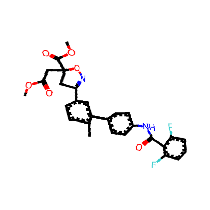 COC(=O)CC1(C(=O)OC)CC(c2ccc(C)c(-c3ccc(NC(=O)c4c(F)cccc4F)cc3)c2)=NO1